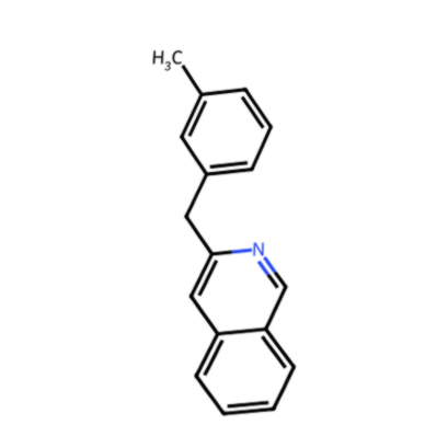 Cc1cccc(Cc2cc3ccccc3cn2)c1